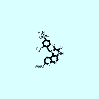 COc1ccc2c(ncc3[nH]c(=O)c(=O)n(Cc4ccc(S(N)(=O)=O)cc4C(F)(F)F)c32)n1